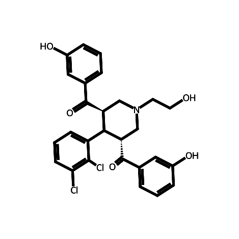 O=C(c1cccc(O)c1)[C@H]1CN(CCO)C[C@H](C(=O)c2cccc(O)c2)C1c1cccc(Cl)c1Cl